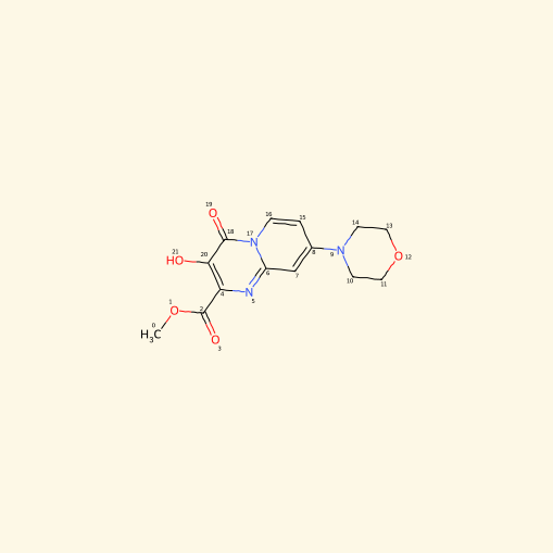 COC(=O)c1nc2cc(N3CCOCC3)ccn2c(=O)c1O